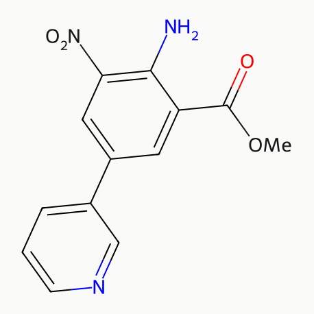 COC(=O)c1cc(-c2cccnc2)cc([N+](=O)[O-])c1N